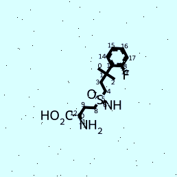 CC(C)(CCS(=N)(=O)CC[C@H](N)C(=O)O)c1ccccc1F